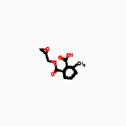 Cc1cccc(C(=O)OCC2CO2)c1C(=O)O